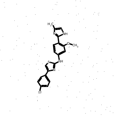 COc1cc(Nc2nc(-c3ccc(Cl)cc3)cs2)ccc1-c1nc(C)c[nH]1